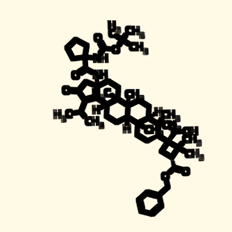 CC(C)C1=C2[C@H]3CC[C@H]4[C@@]5(C)CC[C@H]([C@@]6(C(=O)O)C[C@@H](C(=O)OCc7ccccc7)C6(C)C)C(C)(C)[C@@H]5CC[C@]4(C)[C@@]3(C)CC[C@]2(NC(=O)C2(NC(=O)OC(C)(C)C)CCCC2)CC1=O